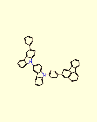 c1ccc(-c2ccc3c(c2)c2ccccc2n3-c2ccc3c(c2)c2ccccc2n3-c2ccc(-c3cc4c5c(cccc5c3)-c3ccccc3-4)cc2)cc1